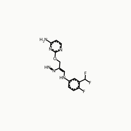 N=N/C(=C\Nc1ccc(F)c(C(F)F)c1)COc1nccc(N)n1